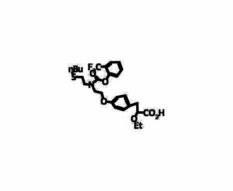 CCCCSCCN(CCOc1ccc(CC(OCC)C(=O)O)cc1)C(=O)Oc1ccccc1C(F)(F)F